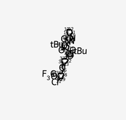 CC(C)(C)OC(=O)C(CCn1nnc2ccccc2c1=O)(CC(=O)c1ccc(OCc2ccc(Cl)c(OC(F)(F)F)c2)cc1)C(=O)OC(C)(C)C